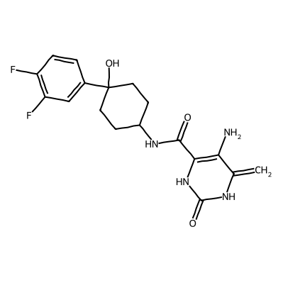 C=C1NC(=O)NC(C(=O)NC2CCC(O)(c3ccc(F)c(F)c3)CC2)=C1N